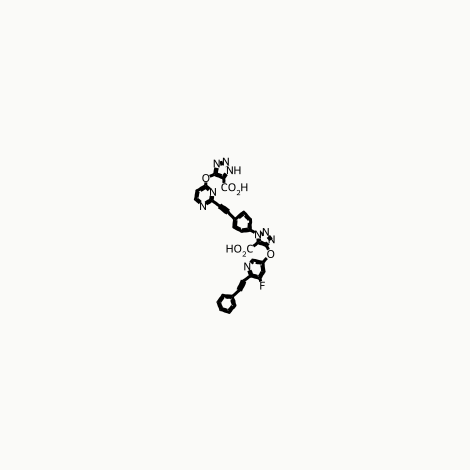 O=C(O)c1[nH]nnc1Oc1ccnc(C#Cc2ccc(-n3nnc(Oc4cnc(C#Cc5ccccc5)c(F)c4)c3C(=O)O)cc2)n1